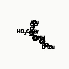 CC(C)(C)OC(=O)COc1c(C(=O)O)sc(-c2cccc(NC3CCN(C(=O)OC(C)(C)C)CC3)c2)c1Br